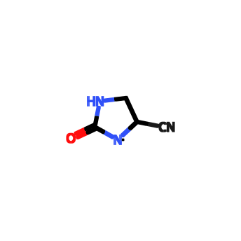 N#CC1CNC(=O)[N]1